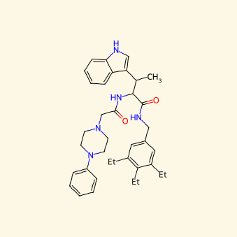 CCc1cc(CNC(=O)C(NC(=O)CN2CCN(c3ccccc3)CC2)C(C)c2c[nH]c3ccccc23)cc(CC)c1CC